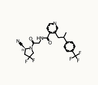 CC(Cc1cnccc1C(=O)NCC(=O)N1CC(F)(F)C[C@H]1C#N)c1ccc(C(F)(F)F)cc1